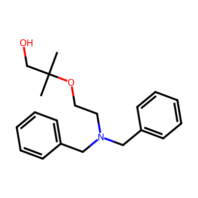 CC(C)(CO)OCCN(Cc1ccccc1)Cc1ccccc1